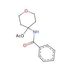 CC(=O)OC1(NC(=O)c2ccccc2)CCOCC1